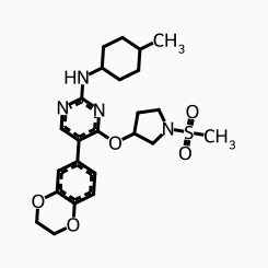 CC1CCC(Nc2ncc(-c3ccc4c(c3)OCCO4)c(OC3CCN(S(C)(=O)=O)C3)n2)CC1